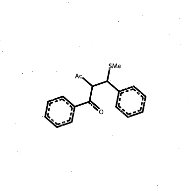 CSC(c1ccccc1)C(C(C)=O)C(=O)c1ccccc1